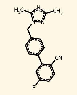 Cc1nc(C)n(Cc2ccc(-c3cc(F)ccc3C#N)cc2)n1